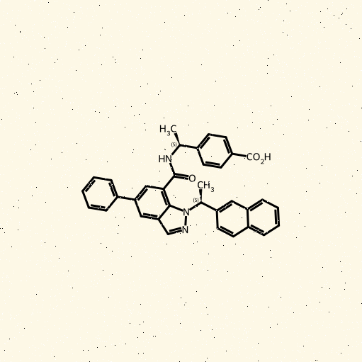 C[C@H](NC(=O)c1cc(-c2ccccc2)cc2cnn([C@@H](C)c3ccc4ccccc4c3)c12)c1ccc(C(=O)O)cc1